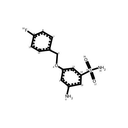 Nc1cc(OCc2ccc(F)cc2)cc(S(N)(=O)=O)c1